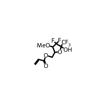 C=CC(=O)OCC1OC(O)(C(F)(F)F)C(F)(F)C1OC